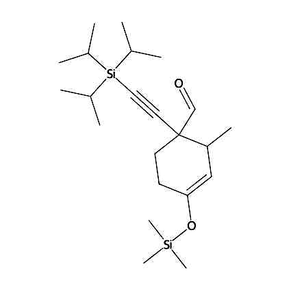 CC1C=C(O[Si](C)(C)C)CCC1(C#C[Si](C(C)C)(C(C)C)C(C)C)C=O